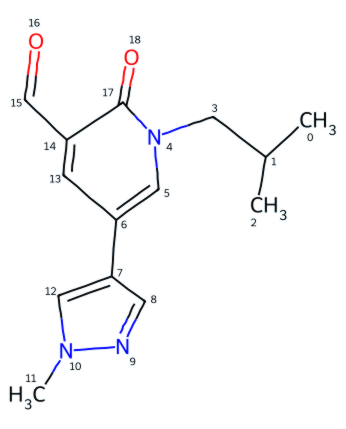 CC(C)Cn1cc(-c2cnn(C)c2)cc(C=O)c1=O